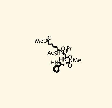 CNC(=O)[C@H](Cc1c[nH]c2ccccc12)NC(=O)[C@H](CC(C)C)NC(=O)[C@@H](CCCCC(=O)OC)SC(C)=O